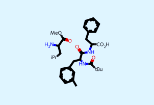 COC(=O)C(N)CC(C)C.Cc1cccc(CC(NC(=O)C(C)(C)C)C(=O)NC(Cc2ccccc2)C(=O)O)c1